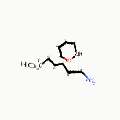 C1C[CH2][AlH][O]C1.NCCCCCC(=O)O